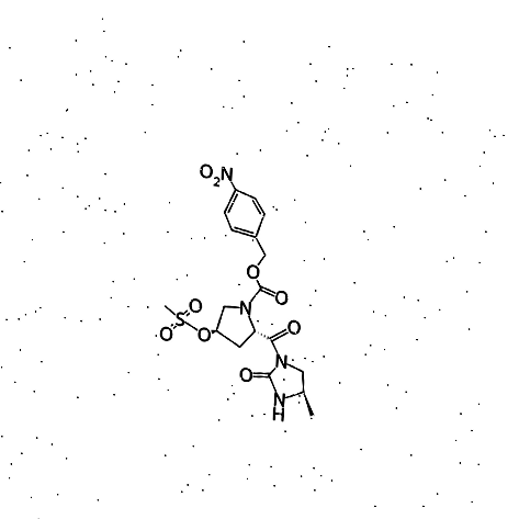 C[C@@H]1CN(C(=O)[C@@H]2C[C@@H](OS(C)(=O)=O)CN2C(=O)OCc2ccc([N+](=O)[O-])cc2)C(=O)N1